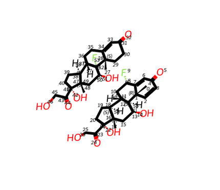 C[C@]12C=CC(=O)C=C1[C@@H](F)C[C@@H]1[C@@H]2[C@@H](O)C[C@@]2(C)[C@H]1CC[C@]2(O)C(=O)CO.C[C@]12CCC(=O)C=C1CC[C@H]1[C@@H]3CC[C@](O)(C(=O)CO)[C@@]3(C)C[C@H](O)[C@@]12F